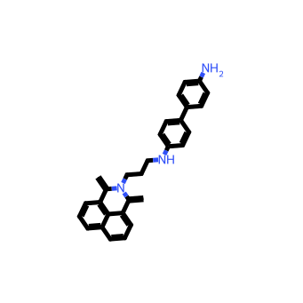 C=C1c2cccc3cccc(c23)C(=C)N1CCCNc1ccc(-c2ccc(N)cc2)cc1